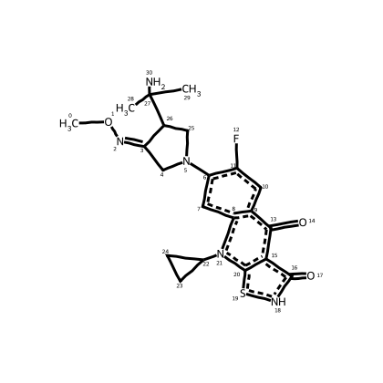 CO/N=C1/CN(c2cc3c(cc2F)c(=O)c2c(=O)[nH]sc2n3C2CC2)CC1C(C)(C)N